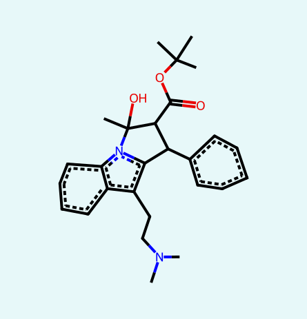 CN(C)CCc1c2n(c3ccccc13)C(C)(O)C(C(=O)OC(C)(C)C)C2c1ccccc1